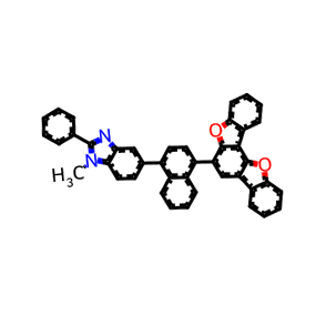 Cn1c(-c2ccccc2)nc2cc(-c3ccc(-c4cc5c6ccccc6oc5c5c4oc4ccccc45)c4ccccc34)ccc21